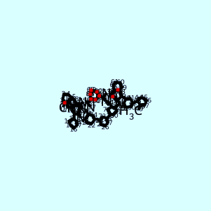 Cc1ccccc1-c1ccc2c(c1)c1ccccc1n2-c1ccc(-c2cccc(-c3ccc(-n4c5ccccc5c5cc(-c6ccccc6C)ccc54)c(-c4nc(-c5ccccc5)nc(-c5ccccc5)n4)c3)c2)cc1-c1nc(-c2ccccc2)nc(-c2ccccc2)n1